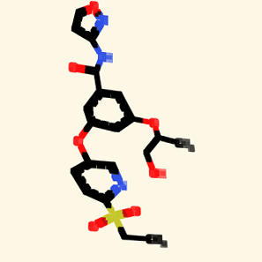 CCS(=O)(=O)c1ccc(Oc2cc(OC(C)CO)cc(C(=O)Nc3ccon3)c2)cn1